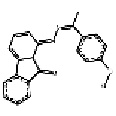 CCOc1ccc(C(C)=NN=C2C=CC=C3c4ccccc4C(=O)C32)cc1